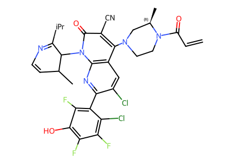 C=CC(=O)N1CCN(c2c(C#N)c(=O)n(C3C(C(C)C)=NC=CC3C)c3nc(-c4c(F)c(O)c(F)c(F)c4Cl)c(Cl)cc23)C[C@H]1C